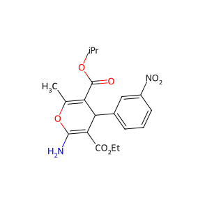 CCOC(=O)C1=C(N)OC(C)=C(C(=O)OC(C)C)C1c1cccc([N+](=O)[O-])c1